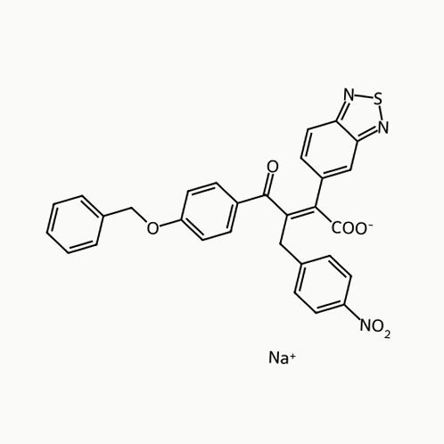 O=C([O-])/C(=C(\Cc1ccc([N+](=O)[O-])cc1)C(=O)c1ccc(OCc2ccccc2)cc1)c1ccc2nsnc2c1.[Na+]